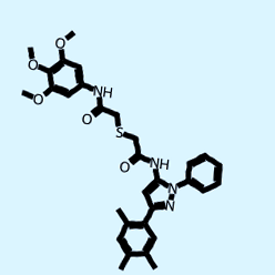 COc1cc(NC(=O)CSCC(=O)Nc2cc(-c3cc(C)c(C)cc3C)nn2-c2ccccc2)cc(OC)c1OC